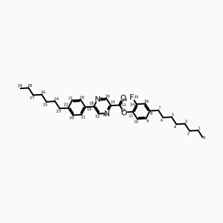 CCCCCCCCc1ccc(OC(=O)c2cnc(-c3ccc(CCCCCCC)cc3)cn2)c(F)c1